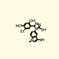 CCc1cc(-c2nnc(S)n2-c2ccc3c(c2)c(C(C)C)cn3C)c(O)cc1O